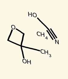 C.CC1(O)COC1.N#CO